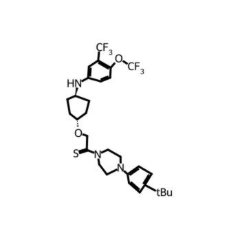 CC(C)(C)c1ccc(N2CCN(C(=S)CO[C@H]3CC[C@H](Nc4ccc(OC(F)(F)F)c(C(F)(F)F)c4)CC3)CC2)cc1